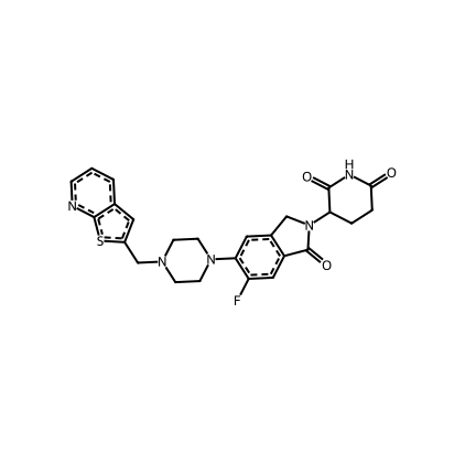 O=C1CCC(N2Cc3cc(N4CCN(Cc5cc6cccnc6s5)CC4)c(F)cc3C2=O)C(=O)N1